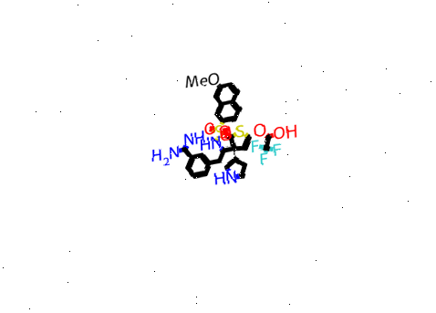 COc1ccc2ccc(S(=O)(=O)NC(Cc3cccc(C(=N)N)c3)C3([C@@H]4CCNC4)C=CSC3=O)cc2c1.O=C(O)C(F)(F)F